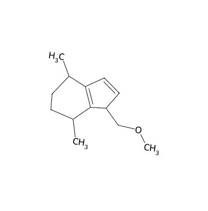 COCC1C=CC2=C1C(C)CCC2C